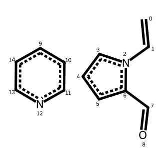 C=Cn1cccc1C=O.c1ccncc1